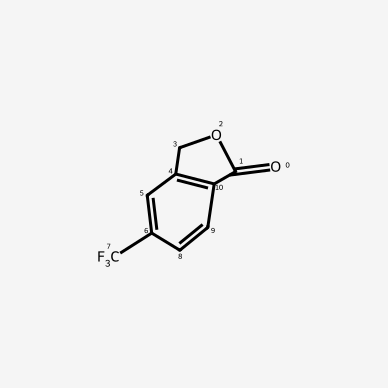 O=C1OCc2cc(C(F)(F)F)ccc21